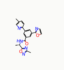 Cc1ccc(-c2cc(C(=O)N[C@H](C)c3nc(C)no3)cc(-c3ncco3)c2)nc1